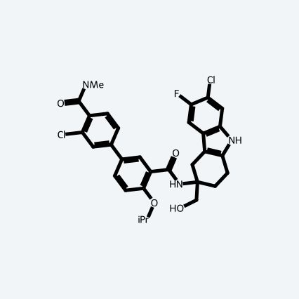 CNC(=O)c1ccc(-c2ccc(OC(C)C)c(C(=O)NC3(CO)CCc4[nH]c5cc(Cl)c(F)cc5c4C3)c2)cc1Cl